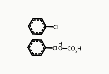 Clc1ccccc1.Clc1ccccc1.O=C(O)O